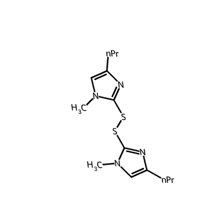 CCCc1cn(C)c(SSc2nc(CCC)cn2C)n1